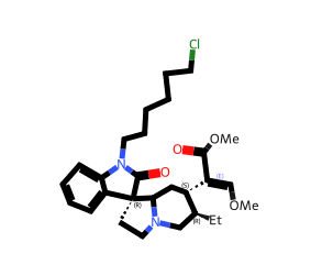 CC[C@H]1CN2CC[C@]3(C(=O)N(CCCCCCCl)c4ccccc43)C2C[C@@H]1/C(=C\OC)C(=O)OC